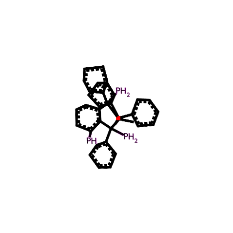 CC(c1ccccc1)C(P)(c1ccccc1)c1cccc(P)c1C(P)(c1ccccc1)C(C)c1ccccc1